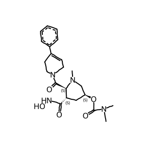 CN(C)C(=O)O[C@H]1C[C@H](C(=O)NO)[C@@H](C(=O)N2CC=C(c3ccccc3)CC2)N(C)C1